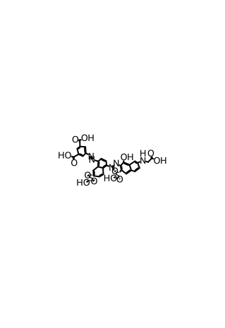 O=C(O)CNc1ccc2cc(S(=O)(=O)O)c(/N=N/c3ccc(/N=N/c4cc(C(=O)O)cc(C(=O)O)c4)c4cc(S(=O)(=O)O)ccc34)c(O)c2c1